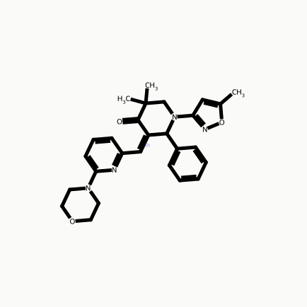 Cc1cc(N2CC(C)(C)C(=O)/C(=C\c3cccc(N4CCOCC4)n3)C2c2ccccc2)no1